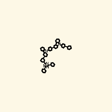 c1ccc(-c2ccc(-n3c4ccccc4c4cc(-c5ccc(-n6c7ccccc7c7cc(-c8cccc(-c9nc(-c%10ccccc%10)nc(-c%10ccccc%10)n9)c8)ccc76)cc5)ccc43)cc2)cc1